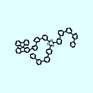 c1ccc(-c2cccc(-c3cccc(-c4ccc(-c5nc(-c6cccc(-c7cccc(-c8cccc(-c9cccc(-c%10ccccc%10)c9)c8)c7)c6)nc(-c6cccc(-c7cccc(-c8cccc(-c9ccc%10c(c9)C9(c%11ccccc%11-c%11ccccc%119)c9ccccc9-%10)c8)c7)c6)n5)cc4)c3)c2)cc1